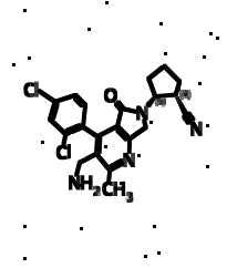 Cc1nc2c(c(-c3ccc(Cl)cc3Cl)c1CN)C(=O)N([C@H]1CCC[C@H]1C#N)C2